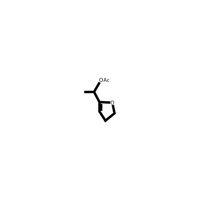 CC(=O)OC(C)C1=CCCO1